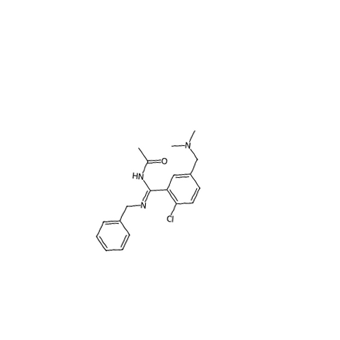 CC(=O)N/C(=N\Cc1ccccc1)c1cc(CN(C)C)ccc1Cl